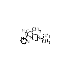 CC(C)C1CN(C(C)C)CCN1C(=O)c1ncccn1